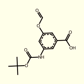 CC(C)(C)OC(=O)Nc1cc(OC=O)cc(C(=O)O)c1